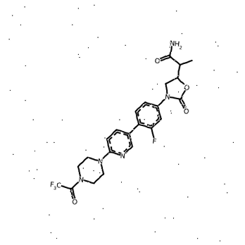 CC(C(N)=O)C1CN(c2ccc(-c3ccc(N4CCN(C(=O)C(F)(F)F)CC4)nc3)c(F)c2)C(=O)O1